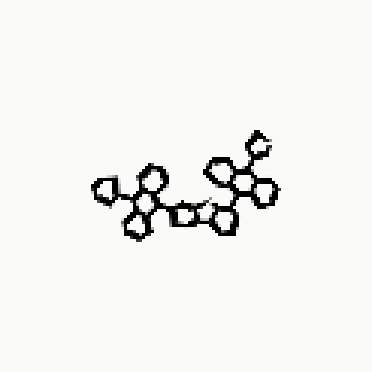 c1ccc(-c2c3ccccc3c(-c3ccc4c(c3)sc3c(-c5c6ccccc6c(-c6ccoc6)c6ccccc56)cccc34)c3ccccc23)cc1